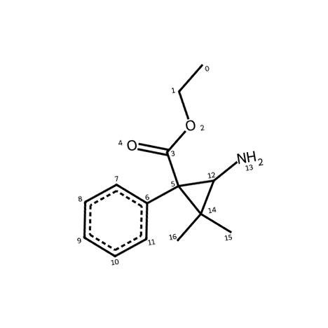 CCOC(=O)C1(c2ccccc2)C(N)C1(C)C